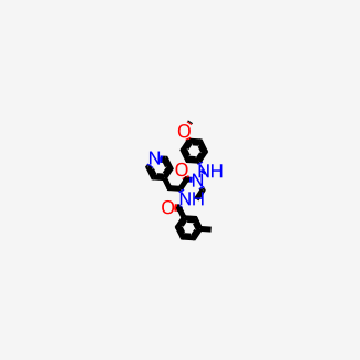 CCN(Nc1ccc(OC)cc1)C(=O)C(Cc1ccncc1)NC(=O)c1cccc(C)c1